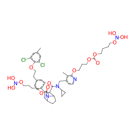 Cc1cc(Cl)c(OCCc2ccc(C3=C(C(=O)N(Cc4ccnc(OCCCOC(=O)OCCCCON(O)O)c4C)C4CC4)C4CCC(C3)N4C(=O)OCCCCON(O)O)cc2)c(Cl)c1